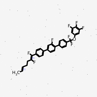 C/C=C/CC/C(F)=C(\F)c1ccc(-c2ccc(-c3ccc(C(F)(F)Oc4cc(F)c(F)c(F)c4)cc3)c(F)c2)cc1